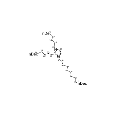 CCCCCCCCCCCCCCCCCCCN1C=CN(CCCCCCCCCCCCCC)C1CCCCCCCCCCCCCC